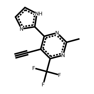 C#Cc1c(-c2ncc[nH]2)nc(C)nc1C(F)(F)F